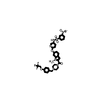 Cn1c(C(=O)N2CCN(Cc3ccc(OCC(F)(F)F)cc3)CC2)cc2ccc(Oc3ccc(NS(=O)(=O)c4cccc([N+](=O)[O-])c4)cn3)cc21